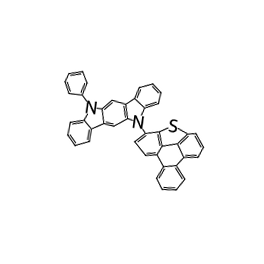 c1ccc(-n2c3ccccc3c3cc4c(cc32)c2ccccc2n4-c2ccc3c4ccccc4c4cccc5sc2c3c54)cc1